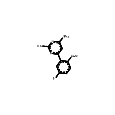 CNc1cc(-c2cc(Br)ccc2OC)nc(N)n1